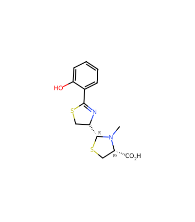 CN1[C@@H](C2CSC(c3ccccc3O)=N2)SC[C@H]1C(=O)O